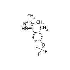 Cc1cc(OC(F)(F)F)ccc1-c1[nH]nc(C)c1C